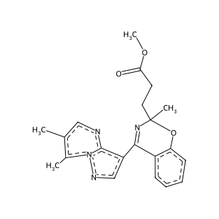 COC(=O)CCC1(C)N=C(c2cnn3c(C)c(C)cnc23)c2ccccc2O1